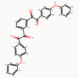 O=C(C(=O)c1cccc(C(=O)C(=O)c2ccc(Oc3ccccc3)cc2)c1)c1ccc(Oc2ccccc2)cc1